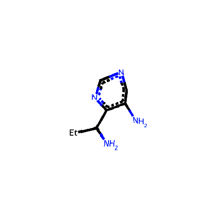 CCC(N)c1ncncc1N